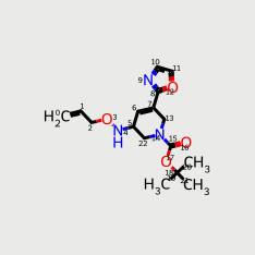 C=CCONC1C=C(c2ncco2)CN(C(=O)OC(C)(C)C)C1